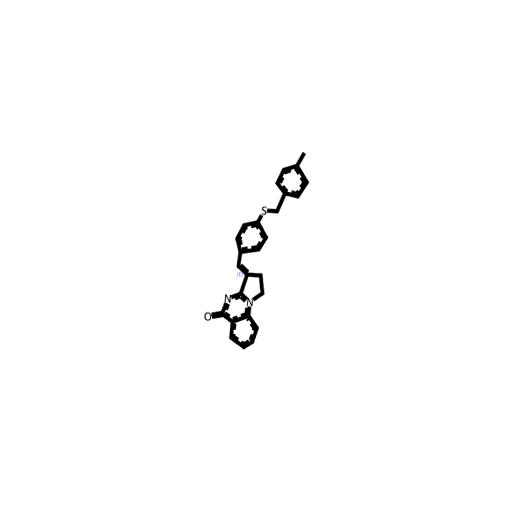 Cc1ccc(CSc2ccc(/C=C3\CCn4c3nc(=O)c3ccccc34)cc2)cc1